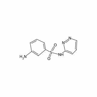 Nc1cccc(S(=O)(=O)Nc2cccnn2)c1